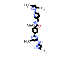 CO[C@]1(C(=O)NCc2ccc(-n3nc(C)cc3C)nc2)CC[C@H](c2nc(C)cc(Nc3cc(C)[nH]n3)n2)CC1